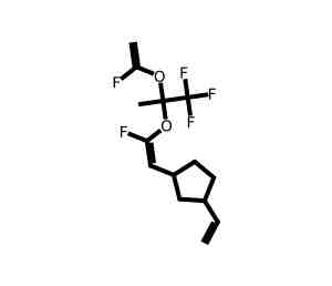 C=CC1CCC(/C=C(/F)OC(C)(OC(=C)F)C(F)(F)F)C1